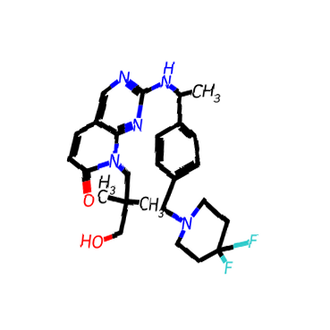 CC(Nc1ncc2ccc(=O)n(CC(C)(C)CO)c2n1)c1ccc(CN2CCC(F)(F)CC2)cc1